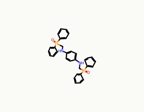 O=P(CNc1ccc(NCP(=O)(c2ccccc2)c2ccccc2)cc1)(c1ccccc1)c1ccccc1